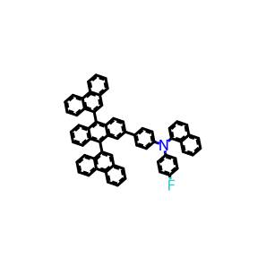 Fc1ccc(N(c2ccc(-c3ccc4c(-c5cc6ccccc6c6ccccc56)c5ccccc5c(-c5cc6ccccc6c6ccccc56)c4c3)cc2)c2cccc3ccccc23)cc1